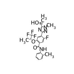 Cc1ccccc1NC(=O)c1cc(F)c(-c2nc([C@H](C)O)n(C)n2)cc1OC(C)C(F)(F)F